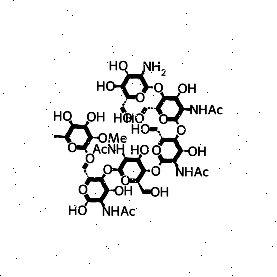 CO[C@@H]1[C@H](OC[C@H]2O[C@@H](O)[C@H](NC(C)=O)[C@@H](O)[C@@H]2O[C@@H]2O[C@H](CO)[C@@H](O[C@@H]3O[C@H](CO)[C@@H](O[C@@H]4O[C@H](CO)[C@@H](O[C@@H]5O[C@H](CO)[C@@H](O)[C@H](O)[C@H]5N)[C@H](O)[C@H]4NC(C)=O)[C@H](O)[C@H]3NC(C)=O)[C@H](O)[C@H]2NC(C)=O)O[C@@H](C)[C@@H](O)[C@H]1O